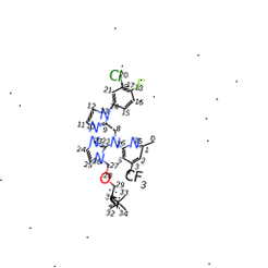 Cc1cc(C(F)(F)F)cc(N(Cc2nccn2-c2ccc(F)c(Cl)c2)c2nccn2COCC[Si](C)(C)C)n1